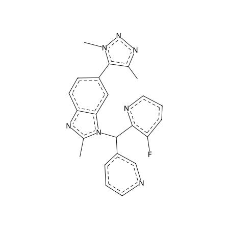 Cc1nnn(C)c1-c1ccc2nc(C)n(C(c3cccnc3)c3ncccc3F)c2c1